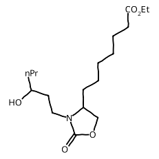 CCCC(O)CCN1C(=O)OCC1CCCCCCC(=O)OCC